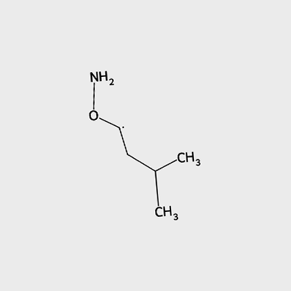 CC(C)C[CH]ON